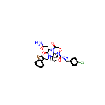 C[C@H]1[C@@H]2N(C(=O)NCc3ccc(Cl)cc3)OCC(=O)N2[C@@H](CC(N)=O)C(=O)N1Cc1csc2ccccc12